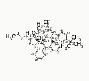 CCCCC1=CC[C]([Zr+2](=[C](c2ccccc2)c2ccccc2)[c]2c(C(C)(C)C)ccc3c2Cc2cc(C(C)(C)C)ccc2-3)=C1.[Cl-].[Cl-]